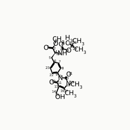 COC(=O)[C@H](Cc1ccc(-n2c(=O)c(CO)c(C)n(C)c2=O)cc1)NC(=O)OC(C)(C)C